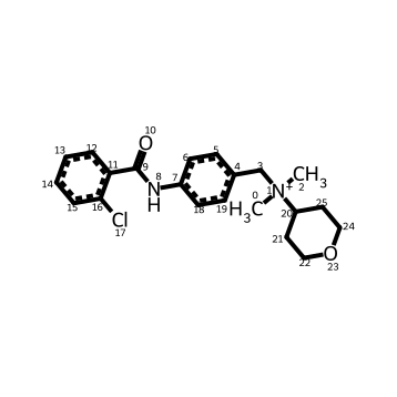 C[N+](C)(Cc1ccc(NC(=O)c2ccccc2Cl)cc1)C1CCOCC1